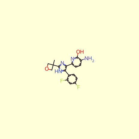 CC1(c2nc(-c3ccc(N)c(O)n3)c(-c3ccc(F)cc3F)[nH]2)COC1